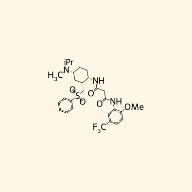 COc1ccc(C(F)(F)F)cc1NC(=O)CC(=O)N[C@H]1CC[C@@H](N(C)C(C)C)C[C@H]1CS(=O)(=O)c1ccccc1